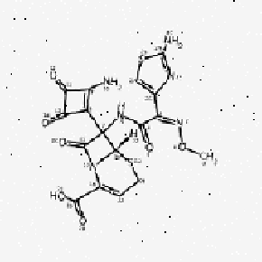 CO/N=C(\C(=O)NC1(c2c(N)c(=O)c2=O)C(=O)N2C(C(=O)O)=CCS[C@H]21)c1csc(N)n1